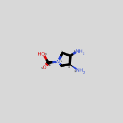 NC1CN(C(=O)O)C[C@@H]1N